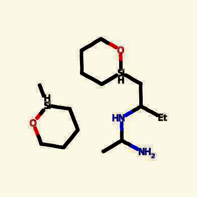 CCC(C[SiH]1CCCCO1)NC(C)N.C[SiH]1CCCCO1